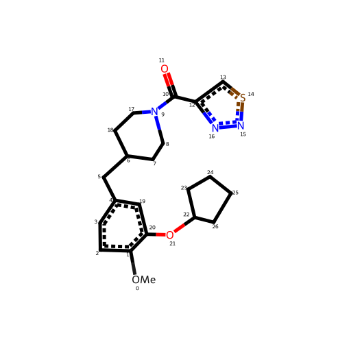 COc1ccc(CC2CCN(C(=O)c3csnn3)CC2)cc1OC1CCCC1